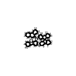 c1ccc(C2(c3ccccc3)c3ccccc3-c3ccc(N(c4cc5ccccc5c5ccccc45)c4cccc5c4oc4ccccc45)cc32)cc1